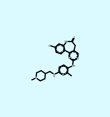 Cc1nc(NCC2CCN(C)CC2)ccc1Nc1ncc2c(n1)-c1ccc(Cl)cc1NC(=S)C2